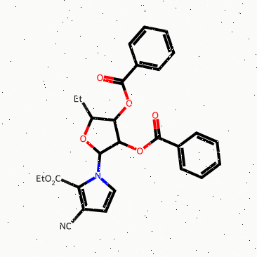 CCOC(=O)c1c(C#N)ccn1C1OC(CC)C(OC(=O)c2ccccc2)C1OC(=O)c1ccccc1